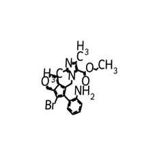 CCOC(=O)c1c(C)nc(C)n1Cc1c2ccocc-2c(Br)c1-c1ccccc1N